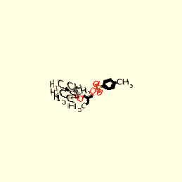 CCC(CO[Si](C)(C)C(C)(C)C)COS(=O)(=O)c1ccc(C)cc1